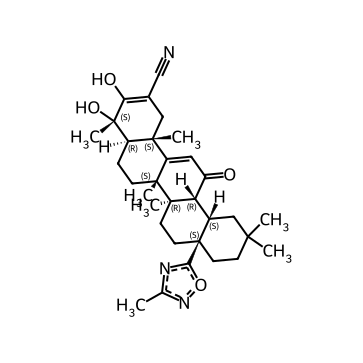 Cc1noc([C@]23CCC(C)(C)C[C@H]2[C@H]2C(=O)C=C4[C@@]5(C)CC(C#N)=C(O)[C@@](C)(O)[C@@H]5CC[C@@]4(C)[C@]2(C)CC3)n1